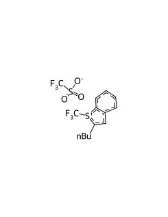 CCCCc1cc2ccccc2[s+]1C(F)(F)F.O=S(=O)([O-])C(F)(F)F